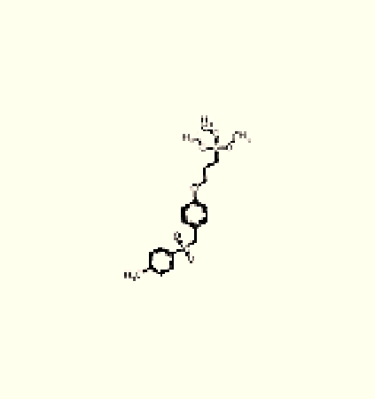 CO[Si](CCCOc1ccc(CS(=O)(=O)c2ccc(C)cc2)cc1)(OC)OC